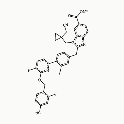 COC(=O)c1ccc2nc(Cc3ccc(-c4ccc(F)c(OCc5ccc(C#N)cc5F)n4)c(F)c3)n(CC3(CC#N)CC3)c2c1